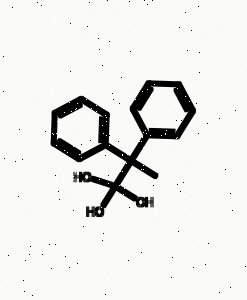 CC(c1ccccc1)(c1ccccc1)C(O)(O)O